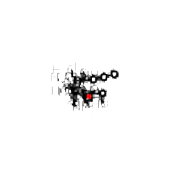 CC[C@H](C)[C@H](NC(=O)[C@@H](Cc1ccc(-c2ccc(-c3ccccc3)cc2)cc1)NC)C(=O)N[C@@H](CO)C(=O)N[C@H](CCC(N)=O)C(=O)N[C@@H](C(=O)N[C@H](C(=O)Oc1ccccc1C=O)[C@@H](C)CC)[C@@H](C)CC